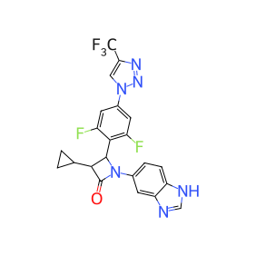 O=C1C(C2CC2)C(c2c(F)cc(-n3cc(C(F)(F)F)nn3)cc2F)N1c1ccc2[nH]cnc2c1